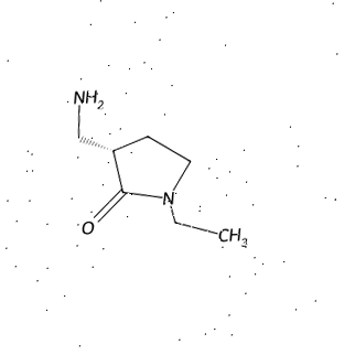 CCN1CC[C@@H](CN)C1=O